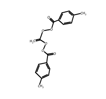 C=C(OOC(=O)c1ccc(C)cc1)OOC(=O)c1ccc(C)cc1